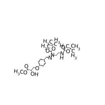 COC(=O)C(O)COc1ccc(C=NN(CCNC(=O)OC(C)(C)C)C(=O)OC(C)(C)C)cc1